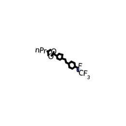 CCCC1COC(C2CCC(CCC3CCC(/C(F)=C/C(F)(F)F)CC3)CC2)OC1